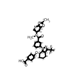 Cc1nc2ncc(N(C)C(=O)c3cccc(-n4nc(C(F)(F)F)c5c4[C@@H](Oc4ccc(C(=O)O)cc4)CCC5)c3)cc2o1